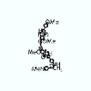 C=C(Nc1ccc(C2=CN3C(=O)c4cc(OC)c(OCCCOc5cc6c(cc5OC)C(=O)N5C=C(c7ccc(OC)cc7)C[C@H]5C=N6)cc4N=C[C@@H]3C2)cc1)OCc1ccc(NC)cc1